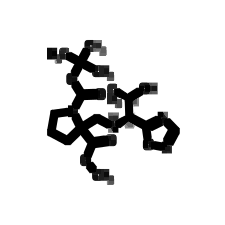 COC(=O)C1(CN[C@H](c2ncno2)[C@@H](C)O)CCCN1C(=O)OC(C)(C)C